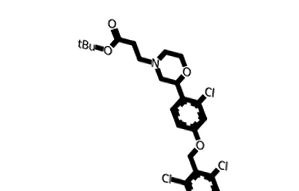 CC(C)(C)OC(=O)CCN1CCOC(c2ccc(OCc3c(Cl)cccc3Cl)cc2Cl)C1